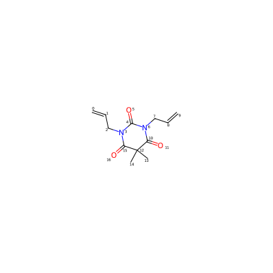 C=CCN1C(=O)N(CC=C)C(=O)C(C)(C)C1=O